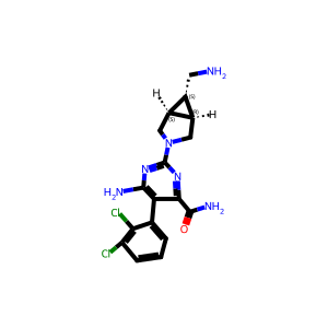 NC[C@@H]1[C@H]2CN(c3nc(N)c(-c4cccc(Cl)c4Cl)c(C(N)=O)n3)C[C@@H]12